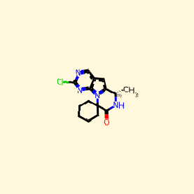 C[C@@H]1NC(=O)C2(CCCCC2)n2c1cc1cnc(Cl)nc12